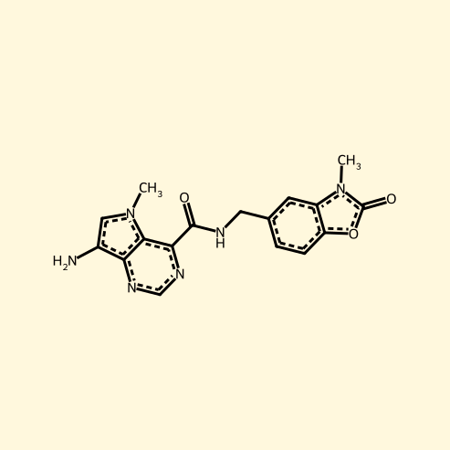 Cn1cc(N)c2ncnc(C(=O)NCc3ccc4oc(=O)n(C)c4c3)c21